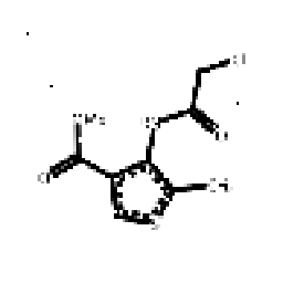 COC(=O)c1csc(C)c1NC(=O)CCl